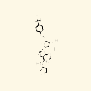 O[C@@H]1[C@H](O)[C@@H](CSc2ccc(C(F)(F)F)cc2)O[C@H]1n1cnc2c(N[C@@H]3CCOC3)ncnc21